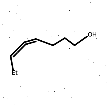 CCC=C=CCCCO